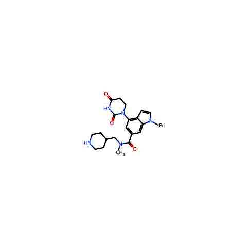 CC(C)n1ccc2c(N3CCC(=O)NC3=O)cc(C(=O)N(C)CC3CCNCC3)cc21